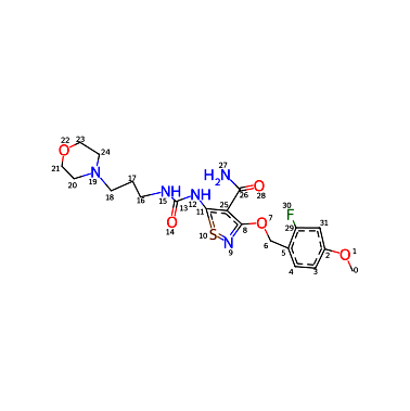 COc1ccc(COc2nsc(NC(=O)NCCCN3CCOCC3)c2C(N)=O)c(F)c1